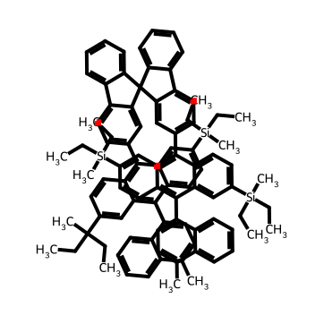 CCC(C)(CC)c1ccc2c(-c3ccc4c(c3)C3(c5ccccc5-4)c4ccccc4-c4ccc(-c5c6cc([Si](C)(CC)CC)ccc6c(-c6ccc(C)c7ccccc67)c6cc([Si](C)(CC)CC)ccc56)cc43)c3cc([Si](C)(CC)CC)ccc3c(-c3ccc(C)c4ccccc34)c2c1